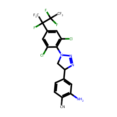 N#Cc1ccc(C2CN(c3c(Cl)cc(C(F)(C(F)(F)F)C(F)(F)C(F)(F)F)cc3Cl)N=N2)cc1N